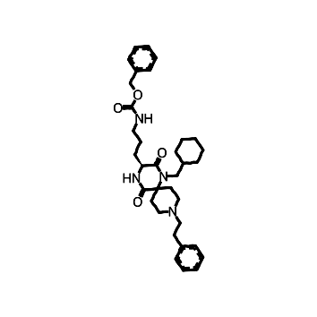 O=C(NCCC[C@@H]1NC(=O)C2(CCN(CCc3ccccc3)CC2)N(CC2CCCCC2)C1=O)OCc1ccccc1